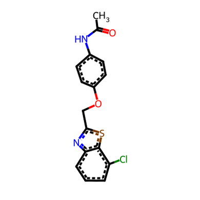 CC(=O)Nc1ccc(OCc2nc3cccc(Cl)c3s2)cc1